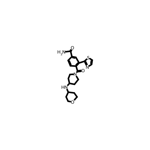 NC(=O)c1ccc(C(=O)N2CCC(NC3CCOCC3)CC2)c(-c2nccs2)c1